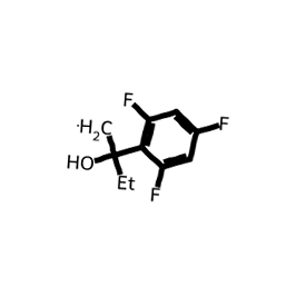 [CH2]C(O)(CC)c1c(F)cc(F)cc1F